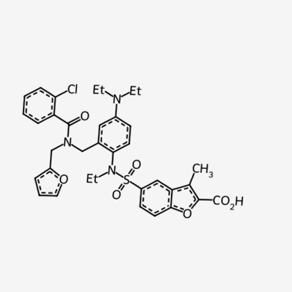 CCN(CC)c1ccc(N(CC)S(=O)(=O)c2ccc3oc(C(=O)O)c(C)c3c2)c(CN(Cc2ccco2)C(=O)c2ccccc2Cl)c1